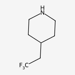 FC(F)(F)CC1CCNCC1